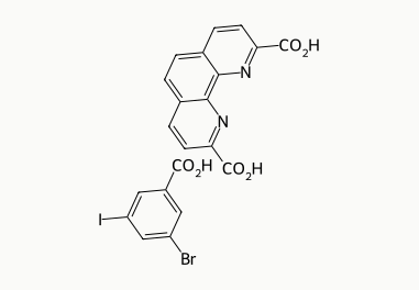 O=C(O)c1cc(Br)cc(I)c1.O=C(O)c1ccc2ccc3ccc(C(=O)O)nc3c2n1